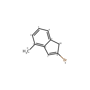 Cc1cccc2c1C=C(Br)C2